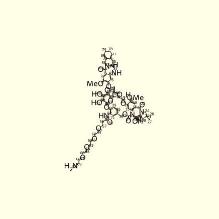 COc1cc2c(cc1OCCCCCOc1cc3c(cc1OC)C(=O)N1CC4(CC4)C[C@H]1[C@H](O)N3C(=O)OCc1ccc(O[C@@H]3O[C@H](C(=O)O)[C@@H](O)[C@H](O)[C@H]3O)c(NC(=O)CCOCCOCCOCCOCCN)c1)NC[C@@H]1Cc3ccccc3CN1C2=O